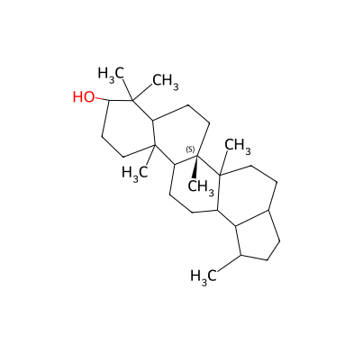 CC1CCC2CCC3(C)C(CCC4C5(C)CCC(O)C(C)(C)C5CC[C@@]43C)C12